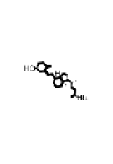 C=C1CC[C@H](O)C/C1=C/C=C1\CCC[C@]2(C)[C@@H]([C@H](C)/C=C/[C@H](C)C(C)(C)C)CC[C@@H]12